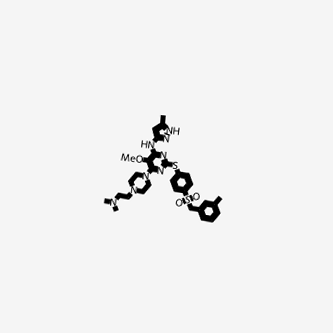 COc1c(Nc2cc(C)[nH]n2)nc(Sc2ccc(S(=O)(=O)Cc3cccc(C)c3)cc2)nc1N1CCN(CCN(C)C)CC1